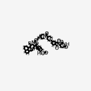 C#Cc1cccc2cccc(-c3ncc4c(N5CC6CCC(C5)N6)nc(OCCN5CCN(C(=O)C6CCN(c7ccc8c(c7)C(=O)N(C7CCC(=O)NC7=O)C8=O)CC6)CC5)nc4c3F)c12.O=CO